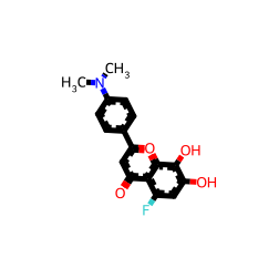 CN(C)c1ccc(-c2cc(=O)c3c(F)cc(O)c(O)c3o2)cc1